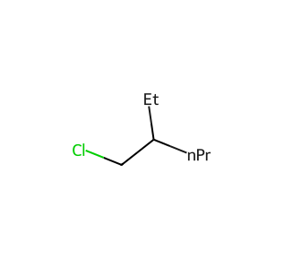 CCCC(CC)CCl